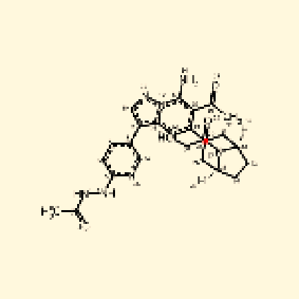 CC(=O)NNc1ccc(-c2cnn3c(N)c(C(C)=O)c(C4C[C@H]5CC[C@@H](C4)N5C(=O)CO)nc23)cn1